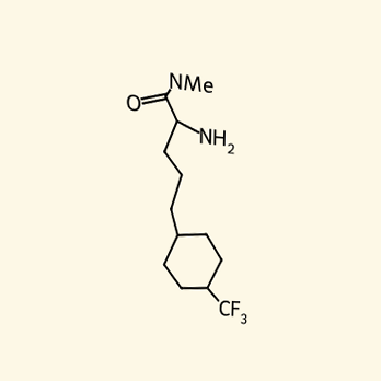 CNC(=O)C(N)CCCC1CCC(C(F)(F)F)CC1